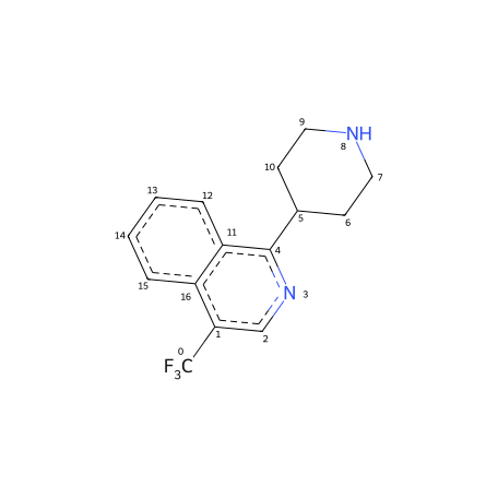 FC(F)(F)c1cnc(C2CCNCC2)c2ccccc12